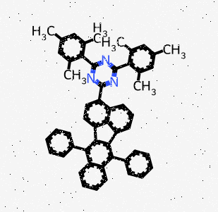 Cc1cc(C)c(-c2nc(-c3c(C)cc(C)cc3C)nc(-c3ccc4c5c(cccc35)-c3c-4c(-c4ccccc4)c4ccccc4c3-c3ccccc3)n2)c(C)c1